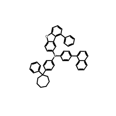 c1ccc(-c2cccc3oc4ccc(N(c5ccc(-c6cccc7ccccc67)cc5)c5ccc(C6(c7ccccc7)CCCCCC6)cc5)cc4c23)cc1